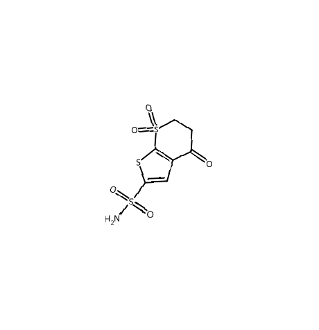 NS(=O)(=O)c1cc2c(s1)S(=O)(=O)CCC2=O